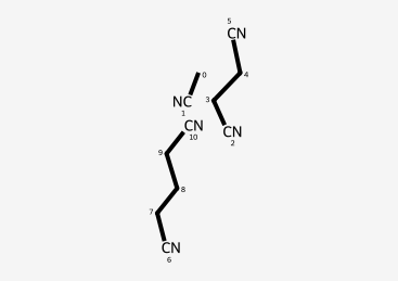 CC#N.N#CCCC#N.N#CCCCC#N